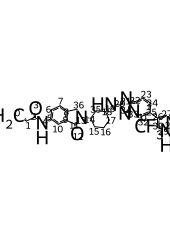 C=CC(=O)Nc1ccc2c(c1)C(=O)N([C@H]1CCCC(Nc3nc4ccc(-c5cn[nH]c5)c(C(F)(F)F)n4n3)C1)C2